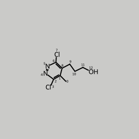 Cc1c(Cl)nnc(Cl)c1CCCO